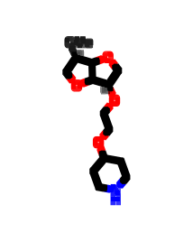 CO[C@@H]1COC2C1OC[C@H]2OCCOC1CCNCC1